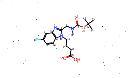 CN(Cc1nc2cc(F)ccc2n1CCCC(=O)O)C(=O)OC(C)(C)C